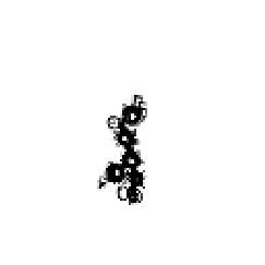 COC(=O)c1ccc(-c2ccc(-c3ccc(C(=O)N4CCC(F)(F)CC4)cc3)cc2-c2ccc(F)cc2)[nH]1